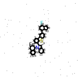 CCc1ccc2c(c1C1[C@@H](C)C3=C(CCC=C3)N1C1CCCc3ccccc31)SC1C=CC(C3=CC=C(F)C4C=CCC34)=CC21